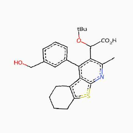 Cc1nc2sc3c(c2c(-c2cccc(CO)c2)c1C(OC(C)(C)C)C(=O)O)CCCC3